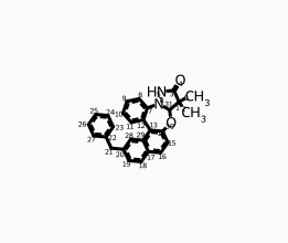 CC1(C)C(=O)NN2c3ccccc3-c3c(ccc4ccc(Cc5ccccc5)cc34)OC21